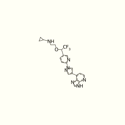 FC(F)(F)C(OCCNC1CC1)c1ccc(-n2cc(-c3ccnc4[nH]cnc34)cn2)nc1